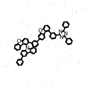 c1ccc(-c2ccc3c(c2)c2ccccc2n3-c2c(-c3cccc(-c4ccc5c(c4)oc4cccc(-c6cccc(-c7nc(-c8ccccc8)nc(-c8ccccc8)n7)c6)c45)c3)ccc3oc4ccccc4c23)cc1